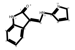 O=C1Nc2ccccc2C1=CNC1=NCC=C1